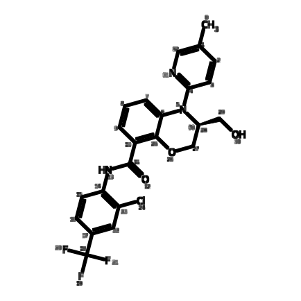 Cc1ccc(N2c3cccc(C(=O)Nc4ccc(C(F)(F)F)cc4Cl)c3OC[C@@H]2CO)nc1